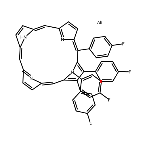 Fc1ccc(-c2c(-c3ccc(F)cc3)c3c(-c4ccc(F)cc4)c4nc(cc5ccc(cc6nc(cc2n3-c2ccc(F)cc2)C=C6)[nH]5)C=C4)cc1.[Al]